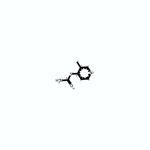 Cc1cnccc1SC(N)=O